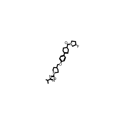 CC(C)c1noc(N2CCC(COc3ccc(C4=CCC(C(=O)N5CC[C@H](F)C5)CC4)cc3)CC2)n1